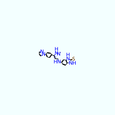 C=NN/C(=C\CNc1ccc2[nH]c(=S)[nH]c2c1)c1ccc(-n2cccn2)cc1